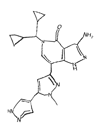 Cn1nc(-c2cn(C(C3CC3)C3CC3)c(=O)c3c(N)n[nH]c23)cc1-c1cn[nH]c1